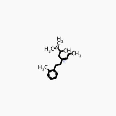 CC/C=C(/CCc1ccccc1C)CC(C)N(C)C